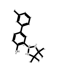 Cc1cccc(-c2ccc(O)c(B3OC(C)(C)C(C)(C)O3)c2)c1